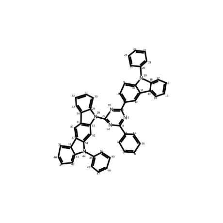 c1ccc(-c2nc(-c3ccc4c(c3)c3ccccc3n4-c3ccccc3)nc(-n3c4ccccc4c4cc5c6ccccc6n(-c6ccccc6)c5cc43)n2)cc1